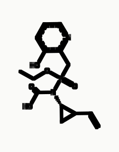 C=CC1C[C@@H]1N(C(=O)O)P(=O)(Cc1ncccc1O)OCC